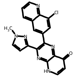 Cn1ccc(-c2nc3[nH]ccc(=O)c3nc2-c2cc(Cl)c3ncccc3c2)n1